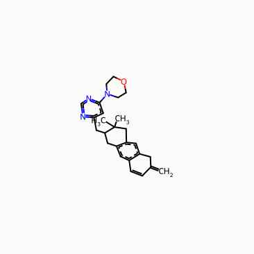 C=C1C=Cc2cc3c(cc2C1)CC(C)(C)C(Cc1cc(N2CCOCC2)ncn1)C3